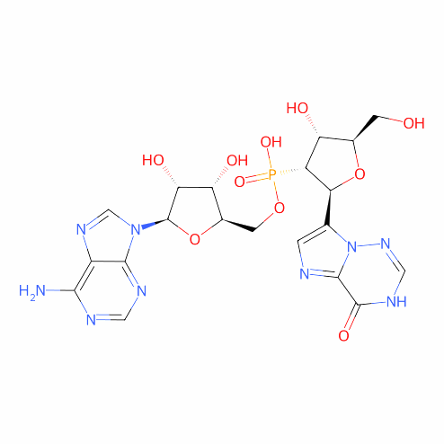 Nc1ncnc2c1ncn2[C@@H]1O[C@H](COP(=O)(O)[C@@H]2[C@H](O)[C@@H](CO)O[C@H]2c2cnc3c(=O)[nH]cnn23)[C@@H](O)[C@H]1O